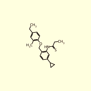 CCC(=S)Nc1cc(C2CC2)ccc1COc1ccc(CC)cc1C